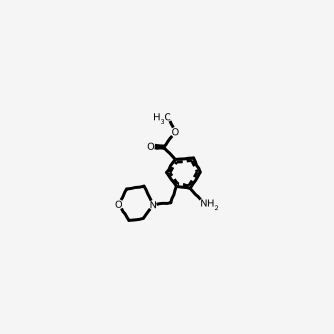 COC(=O)c1ccc(N)c(CN2CCOCC2)c1